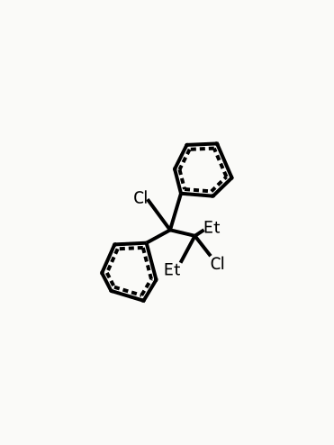 CCC(Cl)(CC)C(Cl)(c1ccccc1)c1ccccc1